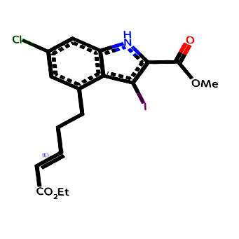 CCOC(=O)/C=C/CCc1cc(Cl)cc2[nH]c(C(=O)OC)c(I)c12